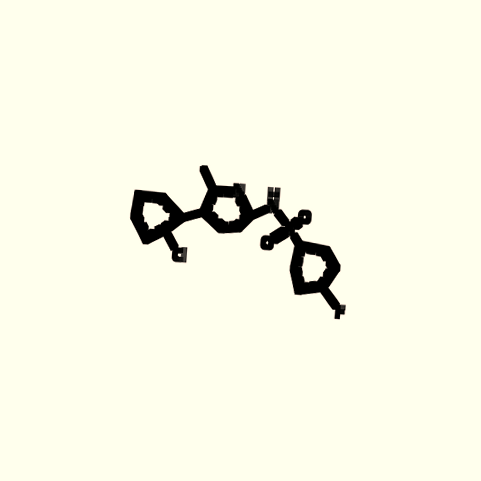 Cc1nc(NS(=O)(=O)c2ccc(F)cc2)ccc1-c1ccccc1Cl